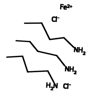 CCCCN.CCCCN.CCCCN.[Cl-].[Cl-].[Fe+2]